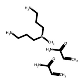 C=CC(N)=O.C=CC(N)=O.CN(CCCN)CCCN